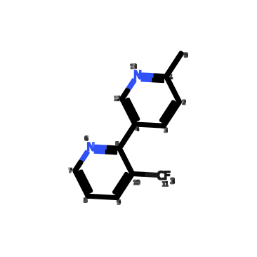 Cc1ccc(-c2ncccc2C(F)(F)F)cn1